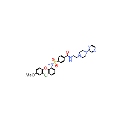 COc1ccc(Oc2ccccc2NS(=O)(=O)c2ccc(C(=O)NCCN3CCN(c4cnccn4)CC3)cc2)c(Cl)c1